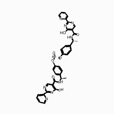 C[C@@H](NC(=O)c1cnc(-c2ccccn2)nc1O)c1ccc(O[PH](=O)Oc2ccc([C@@H](C)NC(=O)c3cnc(-c4ccccn4)nc3O)cc2)cc1